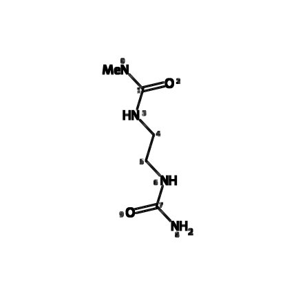 CNC(=O)NCCNC(N)=O